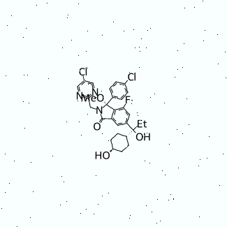 CCC(O)(c1cc(F)c2c(c1)C(=O)N(Cc1ncc(Cl)cn1)[C@@]2(OC)c1ccc(Cl)cc1)[C@H]1CC[C@H](O)CC1